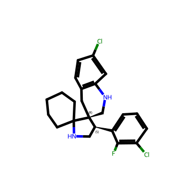 Fc1c(Cl)cccc1[C@H]1CNC2(CCCCC2)[C@@]12CNc1cc(Cl)ccc1C2